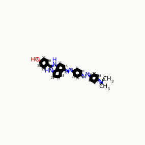 CN(C)c1ccc(/N=N/c2ccc(/N=N/c3ccc4c5c(cccc35)NC(c3ccc(O)cc3)N4)cc2)cc1